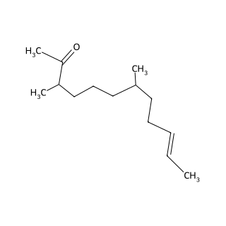 C/C=C/CCC(C)CCCC(C)C(C)=O